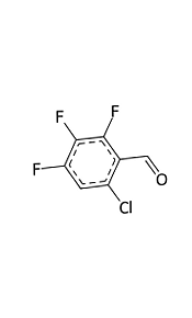 O=Cc1c(Cl)cc(F)c(F)c1F